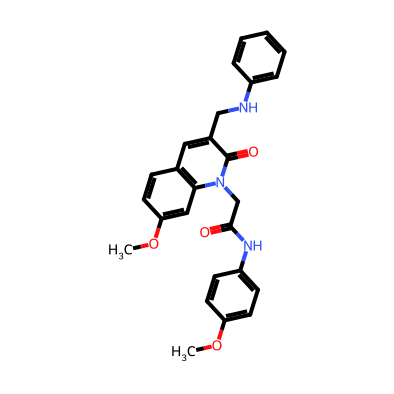 COc1ccc(NC(=O)Cn2c(=O)c(CNc3ccccc3)cc3ccc(OC)cc32)cc1